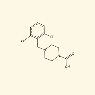 O=C(O)N1CCN(Cc2c(Cl)cccc2Cl)CC1